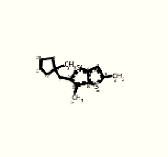 Cc1cc2sc(CC3(C)CCCC3)c(C)c2s1